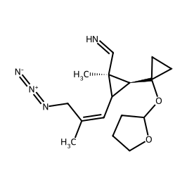 C/C(=C/C1[C@H](C2(OC3CCCO3)CC2)[C@]1(C)C=N)CN=[N+]=[N-]